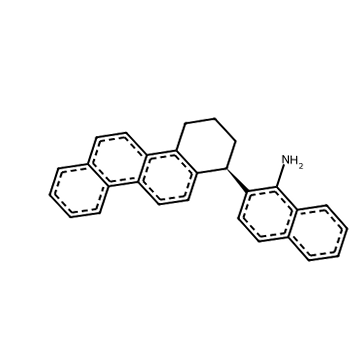 Nc1c([C@@H]2CCCc3c2ccc2c3ccc3ccccc32)ccc2ccccc12